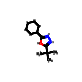 CC(C)(C)c1nnc(C2CCCCC2)o1